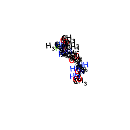 COC(=O)NCC(=O)N1CCC[C@H]1C1NC=C(c2ccc3oc4ccc5cc(-c6cnc(CN(CC(C)F)C(=O)[C@@H](NC(=O)OC)C(C)C)[nH]6)ccc5c4c(=O)c3c2)N1